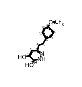 OC1=CC(CCc2ccc(OC(F)(F)F)cc2)=NNC1O